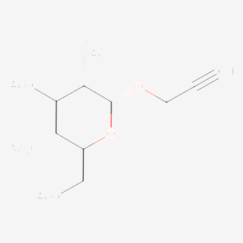 C#CCO[C@@H]1OC(COC(C)=O)[C@H](OC(C)=O)C(OC(C)=O)[C@@H]1OC(C)=O